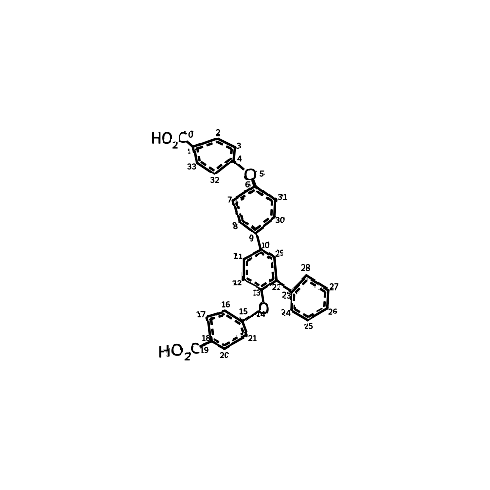 O=C(O)c1ccc(Oc2ccc(-c3ccc(Oc4ccc(C(=O)O)cc4)c(-c4ccccc4)c3)cc2)cc1